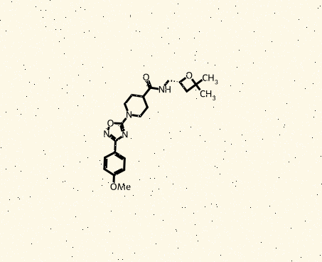 COc1ccc(-c2noc(N3CCC(C(=O)NC[C@H]4CC(C)(C)O4)CC3)n2)cc1